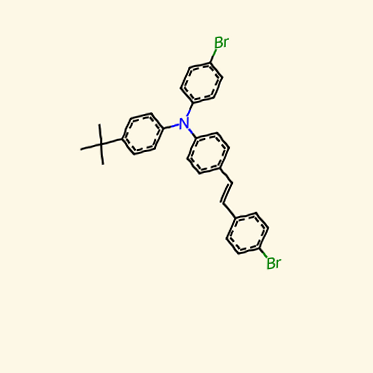 CC(C)(C)c1ccc(N(c2ccc(Br)cc2)c2ccc(C=Cc3ccc(Br)cc3)cc2)cc1